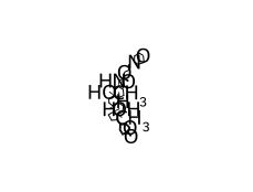 C[C@]12CC[C@H](NC(=O)OCCN3CCOCC3)C[C@@]1(O)CC[C@@H]1[C@@H]2CC[C@]2(C)[C@@H](c3ccc(=O)oc3)CC[C@]12O